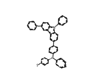 Fc1ccc(N(c2ccccc2)c2ccc(-c3ccc4c(c3)c3cc(-c5ccccc5)ccc3n4-c3ccccc3)cc2)cc1